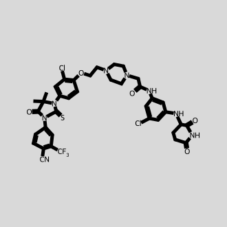 CC1(C)C(=O)N(c2ccc(C#N)c(C(F)(F)F)c2)C(=S)N1c1ccc(OCCN2CCN(CC(=O)Nc3cc(Cl)cc(NC4CCC(=O)NC4=O)c3)CC2)c(Cl)c1